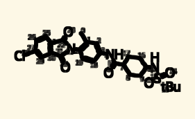 Cc1cc(NC(=O)C2CCC(NS(=O)(=O)C(C)(C)C)CC2)ccc1N1C(=O)c2ccc(Cl)cc2C1=O